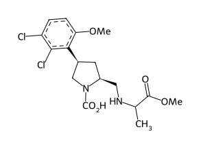 COC(=O)C(C)NC[C@@H]1C[C@H](c2c(OC)ccc(Cl)c2Cl)CN1C(=O)O